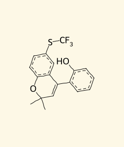 CC1(C)C=C(c2ccccc2O)c2cc(SC(F)(F)F)ccc2O1